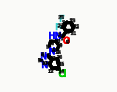 O=C(NC1CCN(c2ncnc3cc(Cl)ccc23)CC1)c1cccc(F)c1F